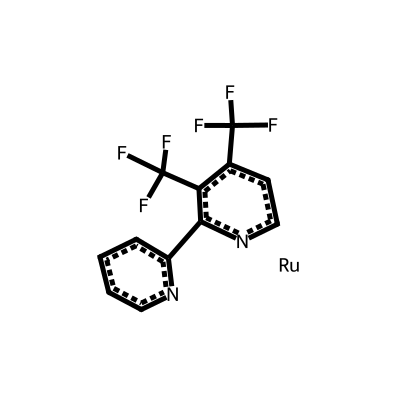 FC(F)(F)c1ccnc(-c2ccccn2)c1C(F)(F)F.[Ru]